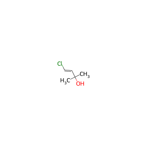 CC(C)(O)C=CCl